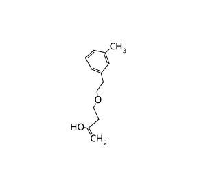 C=C(O)CCOCCc1cccc(C)c1